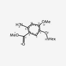 CCCCCCOc1cc(C(=O)OC)c(N)cc1OC